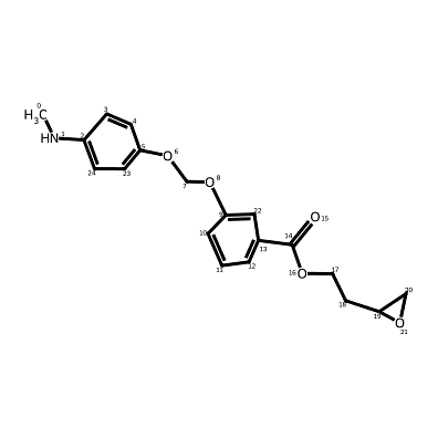 CNc1ccc(OCOc2cccc(C(=O)OCCC3CO3)c2)cc1